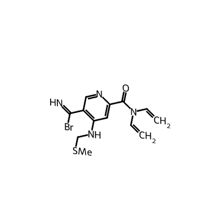 C=CN(C=C)C(=O)c1cc(NCSC)c(C(=N)Br)cn1